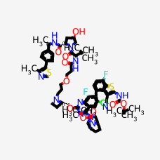 Cc1ncsc1-c1ccc([C@H](C)NC(=O)[C@@H]2C[C@@H](O)CN2C(=O)[C@@H](NC(=O)CCOCCCN2CC[C@H]2COc2nc(N3CC4CCC(C3)N4C(=O)OC(C)(C)C)c3cc(Cl)c(-c4ccc(F)c5sc(NC(=O)OC(C)(C)C)c(C#N)c45)c(F)c3n2)C(C)(C)C)cc1